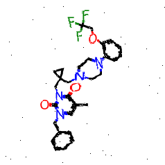 Cc1cn(Cc2ccccc2)c(=O)n(CC2(CN3CCN(c4ccccc4OCC(F)(F)F)CC3)CC2)c1=O